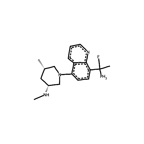 CN[C@@H]1C[C@H](C)CN(c2ccc(C(C)(F)P)c3ncccc23)C1